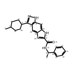 CC1CCC(c2n[nH]c3cc4[nH]c(C(=O)N[C@H](C)c5ccccc5)nc4cc23)CC1